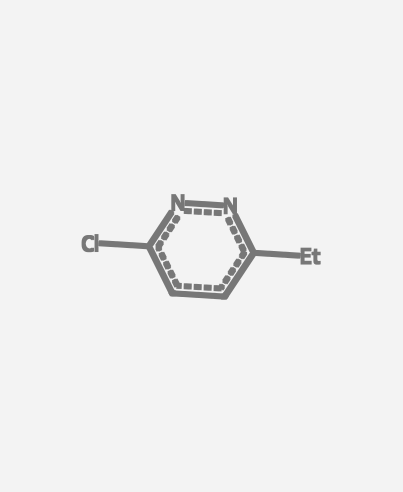 [CH2]Cc1ccc(Cl)nn1